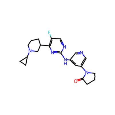 O=C1CCCN1c1cncc(Nc2ncc(F)c(C3CCCN(C4CC4)C3)n2)c1